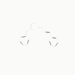 Fc1ccc2c(c1)C(C1CCN(C/C=C/c3ccc(Cl)cc3)C1)CN2